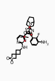 CC(C)(C)OC(=O)N1CC2CCC(C1)N2c1nc(-c2cccc(N)c2F)c(-c2ccnc(NC3CC4(C3)CS(=O)(=O)C4)n2)s1